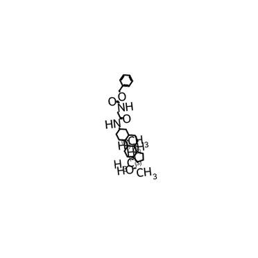 CC(O)[C@H]1CC[C@H]2[C@@H]3CCC4CC(NC(=O)CNC(=O)OCc5ccccc5)CC[C@]4(C)[C@H]3CC[C@]12C